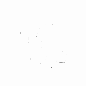 CN(CCN(C)C(=O)OC(C)(C)C)Cc1nn2c(c1Br)CCC2